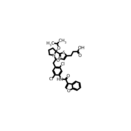 CC(C)O[C@]1(c2ncc(CCC(=O)O)s2)CCCN1C(=O)Cc1cc(Cl)c(NC(=O)c2coc3ccccc23)cc1Cl